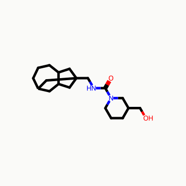 O=C(NCC12CC3CCCC(C1)C(C3)C2)N1CCCC(CO)C1